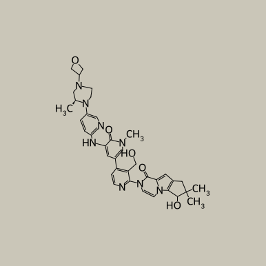 C[C@H]1CN(C2COC2)CCN1c1ccc(Nc2cc(-c3ccnc(-n4ccn5c6c(cc5c4=O)CC(C)(C)C6O)c3CO)cn(C)c2=O)nc1